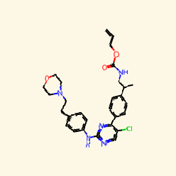 C=CCOC(=O)NCC(C)c1ccc(-c2nc(Nc3ccc(CCN4CCOCC4)cc3)ncc2Cl)cc1